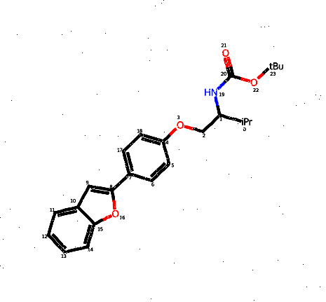 CC(C)C(COc1ccc(-c2cc3ccccc3o2)cc1)NC(=O)OC(C)(C)C